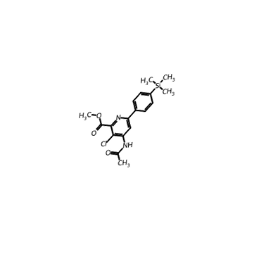 COC(=O)c1nc(-c2ccc([Si](C)(C)C)cc2)cc(NC(C)=O)c1Cl